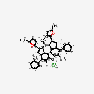 Cc1ccc(C2=Cc3c(cc(C)c(C)c3-c3ccccc3C)[CH]2[Zr]([CH]2C(c3ccc(C)o3)=Cc3c2cc(C)c(C)c3-c2ccccc2C)=[Si](C)C)o1.Cl.Cl